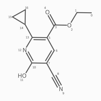 CCOC(=O)c1cc(C#N)c(O)nc1C1CC1